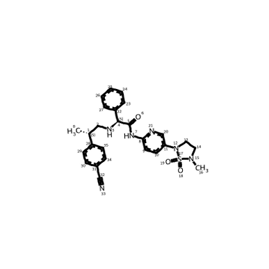 C[C@H](CN[C@H](C(=O)Nc1ccc(N2CCN(C)S2(=O)=O)cn1)c1ccccc1)c1ccc(C#N)cc1